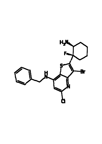 N[C@H]1CCCC[C@]1(F)c1sc2c(NCc3ccccc3)cc(Cl)nc2c1Br